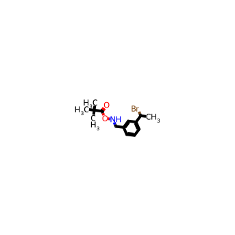 CC(Br)c1cccc(CNOC(=O)C(C)(C)C)c1